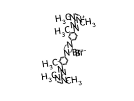 Cc1cc(N2CCN(c3ccc(/N=N/c4n(C)cc[n+]4C)c(C)c3)CC2)ccc1/N=N/c1n(C)cc[n+]1C.[Br-].[Br-]